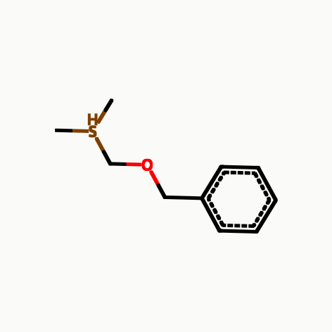 C[SH](C)COCc1ccccc1